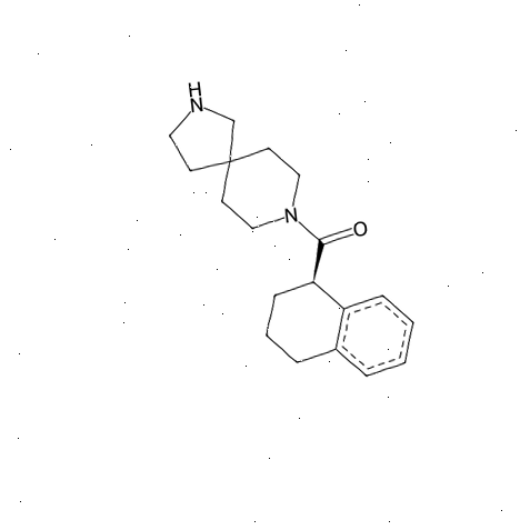 O=C([C@@H]1CCCc2ccccc21)N1CCC2(CCNC2)CC1